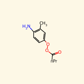 CCCC(=O)OOc1ccc(N)c(C)c1